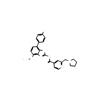 COc1ccc(-c2ccc(F)cc2)c2oc(NC(=O)c3ccnc(CN4CCCC4)c3)nc12